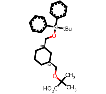 CC(C)(OC[C@H]1CCC[C@@H](CO[Si](c2ccccc2)(c2ccccc2)C(C)(C)C)C1)C(=O)O